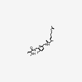 C=C(CC(C)/C=C/CCSC(=C)C)NCc1ccc(F)c(/C=N/C(=O)/C(=C/C)NC)n1